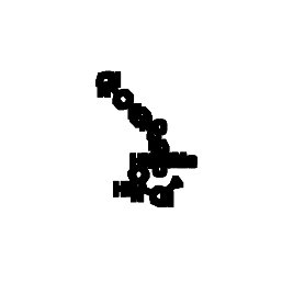 CS[C@@]1(C(=O)Nc2ccc3[nH]nc(-c4ccnc(C5CC5)c4)c3c2)CCN(CC(=O)N2CCN(c3ccc(-c4ncccn4)cc3)CC2)C1